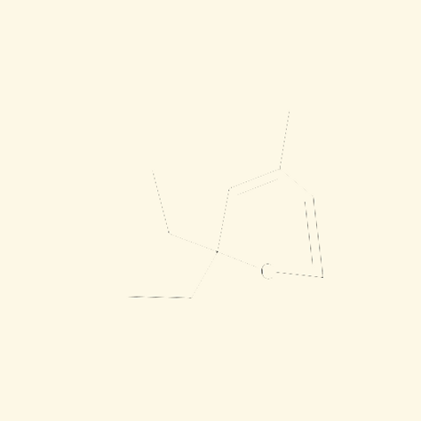 CCC1(CC)C=C(C)C=CC1